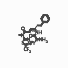 CC(C)[C@H](N)C(=O)N[C@H](C=CC(=O)N(C)c1nnc(C(F)(F)F)s1)CCc1ccccc1